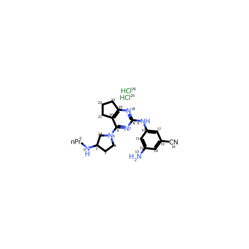 CCCNC1CCN(c2nc(Nc3cc(N)cc(C#N)c3)nc3c2CCC3)C1.Cl.Cl